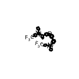 FC(F)(F)c1ccc(-c2nc(-c3ccccc3)nc(-c3cccc(-c4ccc5oc6ccc(-c7cccc(-c8nc(-c9ccccc9)nc(-c9ccc(C(F)(F)F)cc9)n8)c7)cc6c5c4)c3)n2)cc1